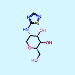 OC[C@H]1OC[C@H](Nc2ncns2)[C@@H](O)[C@H]1O